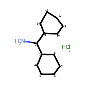 Cl.NC(C1CCCCC1)C1CCCCC1